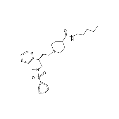 CCCCCNC(=O)C1CCN(CC[C@@H](CN(C)S(=O)(=O)c2ccccc2)c2ccccc2)CC1